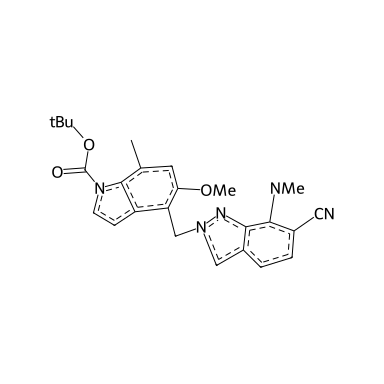 CNc1c(C#N)ccc2cn(Cc3c(OC)cc(C)c4c3ccn4C(=O)OC(C)(C)C)nc12